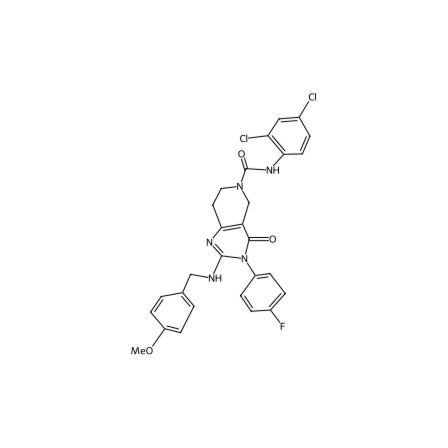 COc1ccc(CNc2nc3c(c(=O)n2-c2ccc(F)cc2)CN(C(=O)Nc2ccc(Cl)cc2Cl)CC3)cc1